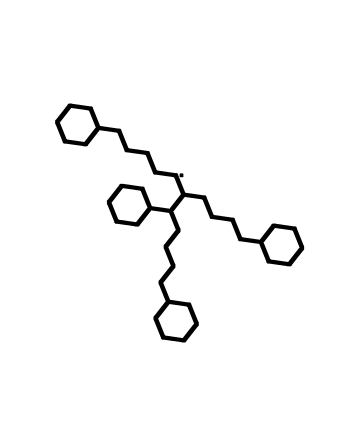 [CH](CCCCC1CCCCC1)C(CCCCC1CCCCC1)C(CCCCC1CCCCC1)C1CCCCC1